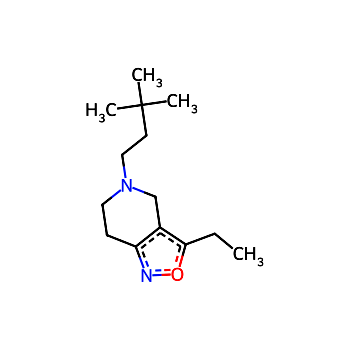 CCc1onc2c1CN(CCC(C)(C)C)CC2